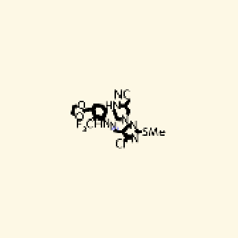 CSc1nc(Cl)c(/C=N/Nc2cccc(C3OCCO3)c2C(F)(F)F)c(N2CCNC(CC#N)C2)n1